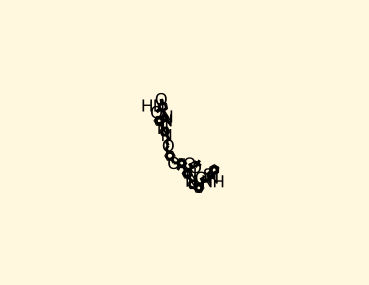 Cc1c(OC2CCC(COCCN3CCN(c4cccc5c(C6CCC(=O)NC6=O)nn(C)c45)CC3)CC2)cccc1-c1ccc(N2CCc3cccc(C(=O)Nc4nc5ccccc5s4)c3C2)nc1C(=O)OC(C)(C)C